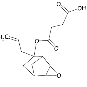 C=CCC1(OC(=O)CCC(=O)O)CC2CC1C1OC21